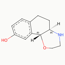 Oc1ccc2c(c1)[C@H]1OCCN[C@@H]1CC2